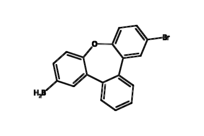 Bc1ccc2c(c1)-c1ccccc1-c1cc(Br)ccc1O2